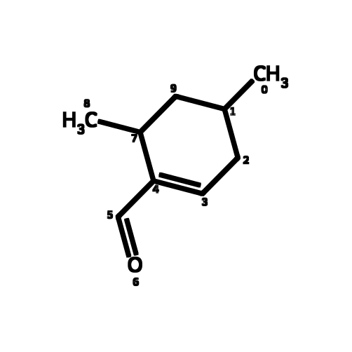 CC1CC=C(C=O)C(C)C1